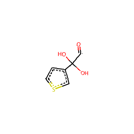 O=[C]C(O)(O)c1ccsc1